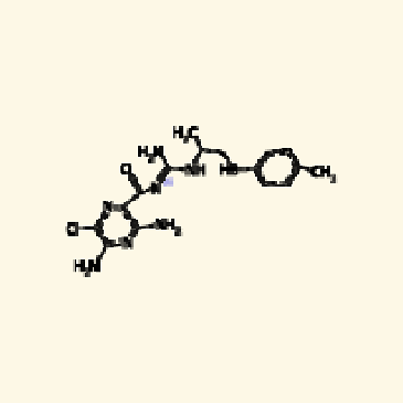 Cc1ccc(BCC(C)N/C(N)=N/C(=O)c2nc(Cl)c(N)nc2N)cc1